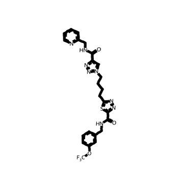 O=C(NCc1ccccn1)c1cn(CCCCc2nnc(C(=O)NCc3cccc(OC(F)(F)F)c3)s2)nn1